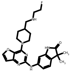 CC1(C)C(=O)Nc2cc(Nc3nc(N4CCC(CNCCF)CC4)c4occc4n3)ccc21